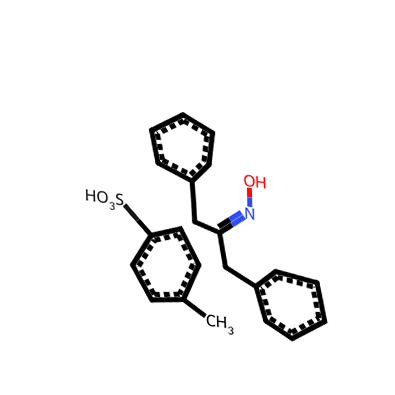 Cc1ccc(S(=O)(=O)O)cc1.ON=C(Cc1ccccc1)Cc1ccccc1